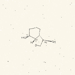 O[C@H]1CO[C@H]2C1CCC[C@@H]2O